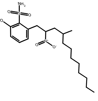 CCCCCCCCC(C)CC(Cc1cccc(O)c1S(N)(=O)=O)[N+](=O)[O-]